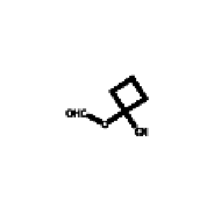 N#CC1(OC=O)CCC1